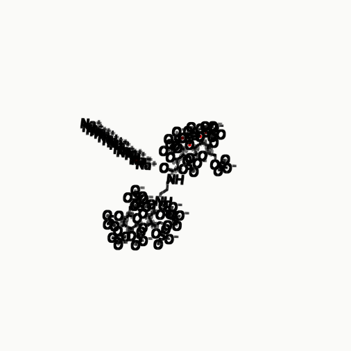 O=C(NCCCNC(=O)[C@H](OS(=O)(=O)[O-])[C@@H](OS(=O)(=O)[O-])[C@H](O[C@@H]1O[C@H](COS(=O)(=O)[O-])[C@H](OS(=O)(=O)[O-])[C@H](OS(=O)(=O)[O-])[C@H]1OS(=O)(=O)[O-])[C@@H](COS(=O)(=O)[O-])OS(=O)(=O)[O-])[C@H](OS(=O)(=O)[O-])[C@@H](OS(=O)(=O)[O-])[C@H](O[C@@H]1O[C@H](COS(=O)(=O)[O-])[C@H](OS(=O)(=O)[O-])[C@H](OS(=O)(=O)[O-])[C@H]1OS(=O)(=O)[O-])[C@@H](COS(=O)(=O)[O-])OS(=O)(=O)[O-].[Na+].[Na+].[Na+].[Na+].[Na+].[Na+].[Na+].[Na+].[Na+].[Na+].[Na+].[Na+].[Na+].[Na+].[Na+].[Na+]